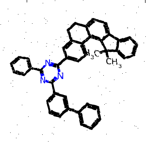 CC1(C)c2ccccc2-c2ccc3c(c21)-c1ccc(-c2nc(-c4ccccc4)nc(-c4cccc(-c5ccccc5)c4)n2)cc1CC3